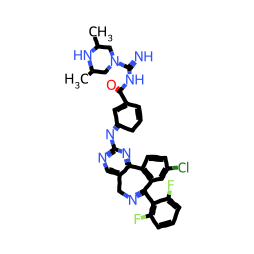 CC1CN(C(=N)NC(=O)C2=CC(=Nc3ncc4c(n3)-c3ccc(Cl)cc3C(c3c(F)cccc3F)=NC4)CC=C2)CC(C)N1